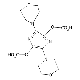 O=C(O)Oc1nc(N2CCOCC2)c(OC(=O)O)nc1N1CCOCC1